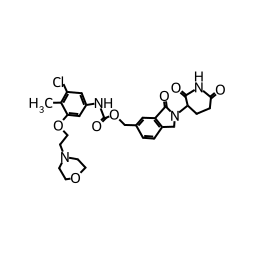 Cc1c(Cl)cc(NC(=O)OCc2ccc3c(c2)C(=O)N(C2CCC(=O)NC2=O)C3)cc1OCCN1CCOCC1